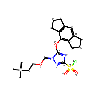 C[Si](C)(C)CCOCn1nc(S(=O)(=O)Cl)nc1Oc1c2c(cc3c1CCC3)CCC2